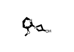 COc1cccnc1N1CC(O)C1